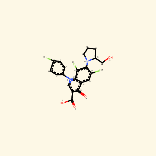 O=C(O)c1cn(-c2ccc(F)cc2)c2c(F)c(N3CCCC3CO)c(F)cc2c1=O